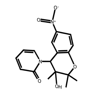 CC1(C)Oc2ccc([N+](=O)[O-])cc2C(n2ccccc2=O)C1(C)O